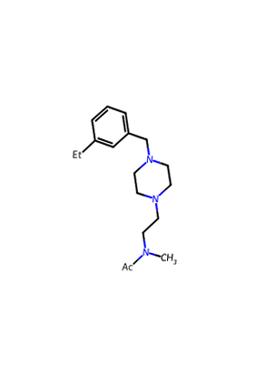 CCc1cccc(CN2CCN(CCN(C)C(C)=O)CC2)c1